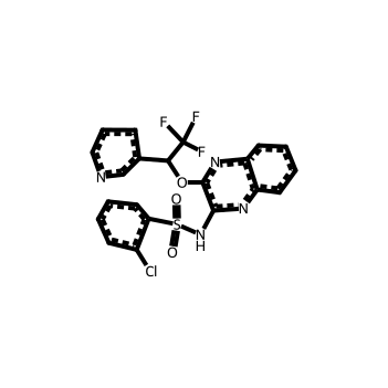 O=S(=O)(Nc1nc2ccccc2nc1OC(c1cccnc1)C(F)(F)F)c1ccccc1Cl